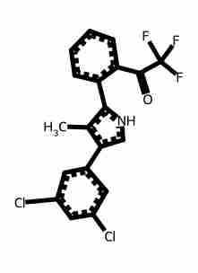 Cc1c(-c2cc(Cl)cc(Cl)c2)c[nH]c1-c1ccccc1C(=O)C(F)(F)F